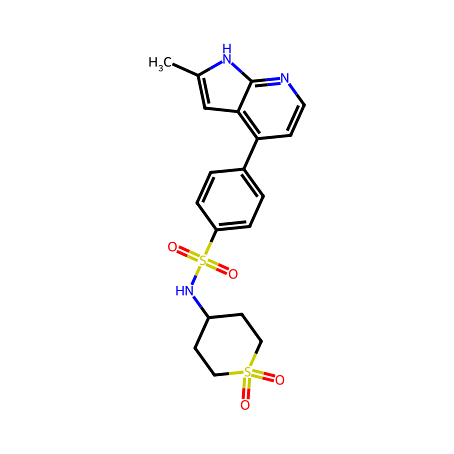 Cc1cc2c(-c3ccc(S(=O)(=O)NC4CCS(=O)(=O)CC4)cc3)ccnc2[nH]1